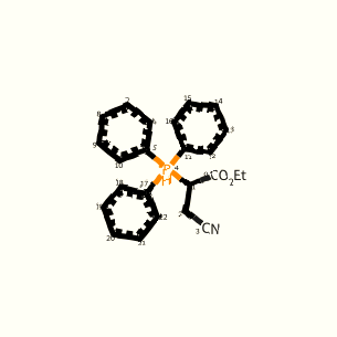 CCOC(=O)C(CC#N)[PH](c1ccccc1)(c1ccccc1)c1ccccc1